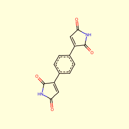 O=C1C=C(c2ccc(C3=CC(=O)NC3=O)cc2)C(=O)N1